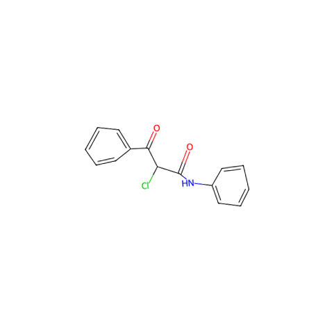 O=C(Nc1ccccc1)C(Cl)C(=O)c1ccccc1